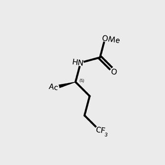 COC(=O)N[C@@H](CCC(F)(F)F)C(C)=O